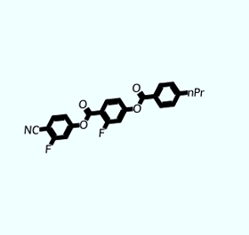 CCCc1ccc(C(=O)Oc2ccc(C(=O)Oc3ccc(C#N)c(F)c3)c(F)c2)cc1